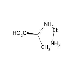 CCN.C[C@H](N)C(=O)O